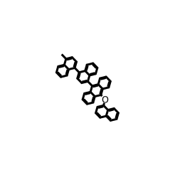 Cc1ccc(-c2ccc(-c3c4ccccc4c(Oc4cccc5ccccc45)c4ccccc34)c3ccccc23)c2ccccc12